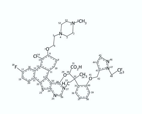 CN1CCN(CCOc2ccc3c(c2Cl)c2cc(F)ccc2c2sc4ncnc(OC(C(=O)O)C(C)(C)c5ccccc5OCc5ccnn5CC(F)(F)F)c4c32)CC1